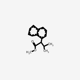 COC(=O)C(c1cccc2ccccc12)C(C)C